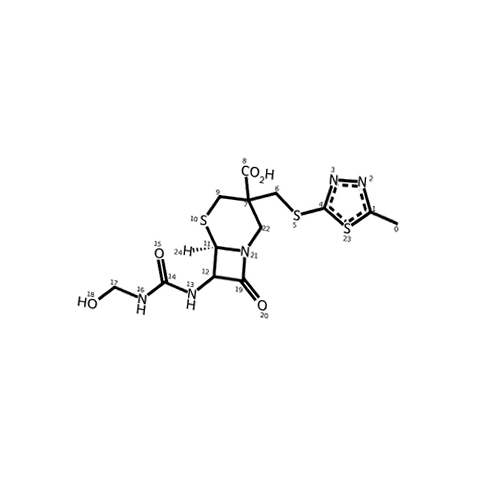 Cc1nnc(SCC2(C(=O)O)CS[C@@H]3C(NC(=O)NCO)C(=O)N3C2)s1